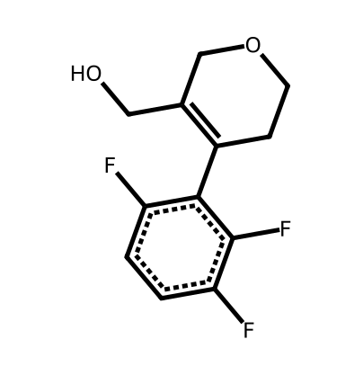 OCC1=C(c2c(F)ccc(F)c2F)CCOC1